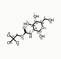 O=C(N[C@@H]1[C@@H](O)[C@H](O)[C@@H](CO)O[C@@H]1O)OCC(Cl)(Cl)Cl